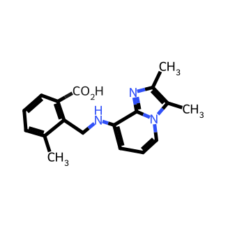 Cc1cccc(C(=O)O)c1CNc1cccn2c(C)c(C)nc12